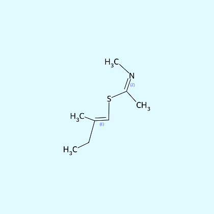 CC/C(C)=C/S/C(C)=N\C